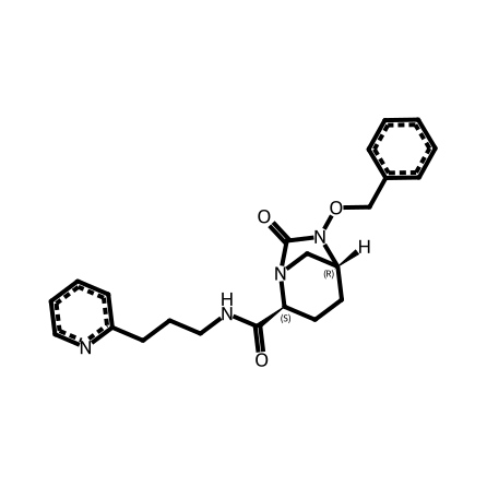 O=C(NCCCc1ccccn1)[C@@H]1CC[C@@H]2CN1C(=O)N2OCc1ccccc1